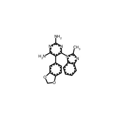 Cc1nc2ccccc2n1-c1nc(N)nc(N)c1-c1ccc2c(c1)OCO2